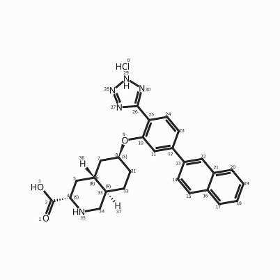 Cl.O=C(O)[C@@H]1C[C@@H]2C[C@@H](Oc3cc(-c4ccc5ccccc5c4)ccc3-c3nn[nH]n3)CC[C@H]2CN1